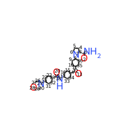 NC(=O)c1cccn1-c1ccc(C(=O)c2ccc(NC(=O)c3ccc(N4CCOCC4)cc3)cc2)cc1